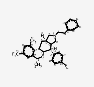 C[C@@H](O[C@H]1CC[C@H]2CN(CCc3ccccc3)C[C@H]2[C@@H]1c1ccc(F)cc1)c1cc(C(F)(F)F)cc(C(F)(F)F)c1